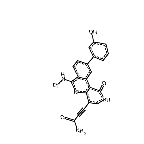 CCNc1nc2c(C#CC(N)=O)c[nH]c(=O)c2c2cc(-c3cccc(O)c3)ccc12